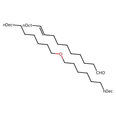 CCCCCCCCC=CCCCCCCCC=O.CCCCCCCCCCCCCCCCOCCCCCCCCCCCCCCCC